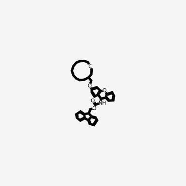 O=C(NC1c2ccccc2Oc2cc(OCC3CCCCCCCCCCCCC3)ccc21)OCC1c2ccccc2-c2ccccc21